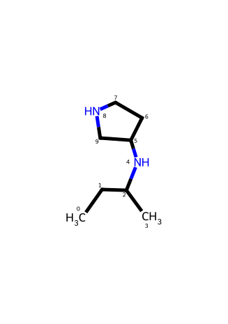 CCC(C)NC1CCNC1